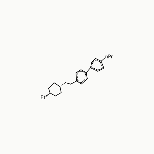 CCCc1ccc(-c2ccc(CC[C@H]3CC[C@H](CC)CC3)cc2)cc1